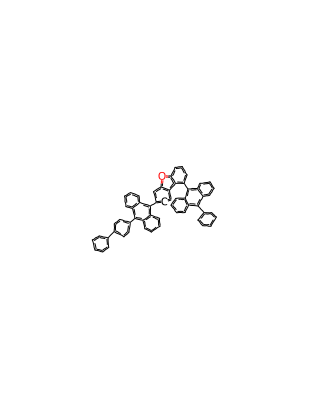 c1ccc(-c2ccc(-c3c4ccccc4c(-c4ccc5c(c4)oc4cccc(-c6c7ccccc7c(-c7ccccc7)c7ccccc67)c45)c4ccccc34)cc2)cc1